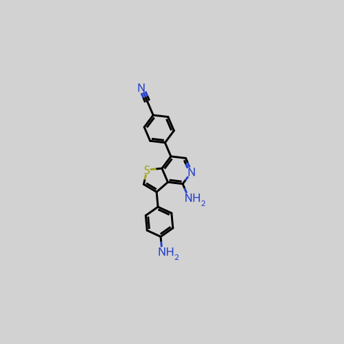 N#Cc1ccc(-c2cnc(N)c3c(-c4ccc(N)cc4)csc23)cc1